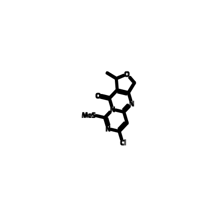 CSc1nc(Cl)cc2nc3c(c(=O)n12)C(C)OC3